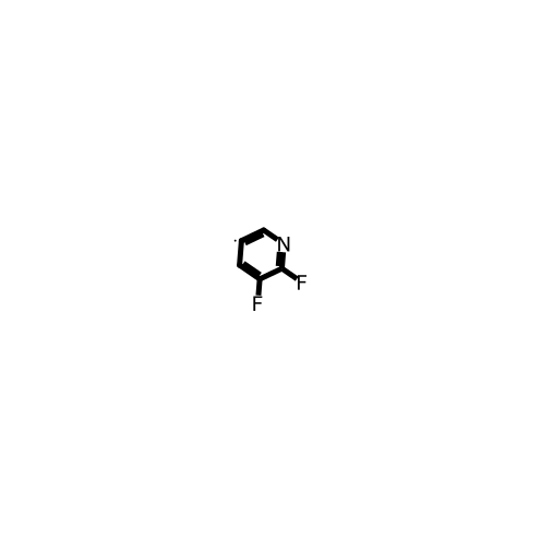 Fc1c[c]cnc1F